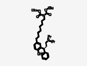 CC(C)N(CC[C@H](c1ccccc1)c1cc(CCCCCCCCN(C(=O)OC(C)(C)C)C(=O)OC(C)(C)C)ccc1O)C(C)C